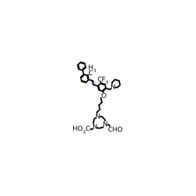 Cc1c(/C=C/c2cc(OCCCCCN3CCN(CC=O)CCN(CC(=O)O)CC3)c(CN3CCCCC3)cc2C(F)(F)F)cccc1-c1ccccc1